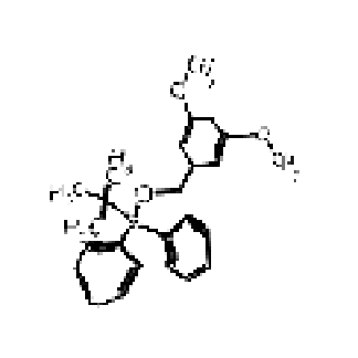 COC1=CC(CO[Si](c2ccccc2)(c2ccccc2)C(C)(C)C)C=C(OC)C1